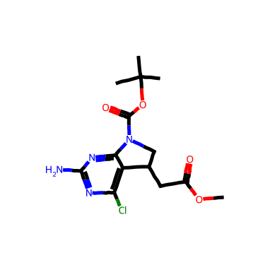 COC(=O)CC1CN(C(=O)OC(C)(C)C)c2nc(N)nc(Cl)c21